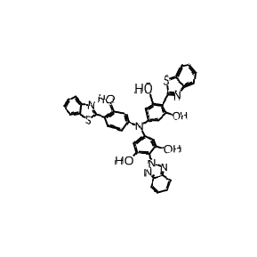 Oc1cc(N(c2cc(O)c(-c3nc4ccccc4s3)c(O)c2)c2cc(O)c(-n3nc4ccccc4n3)c(O)c2)ccc1-c1nc2ccccc2s1